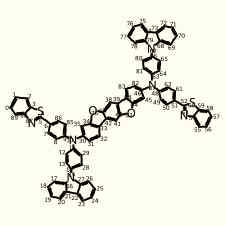 c1ccc2sc(-c3ccc(N(c4ccc(-n5c6ccccc6c6ccccc65)cc4)c4ccc5c(c4)oc4cc6c(cc45)oc4cc(N(c5ccc(-c7nc8ccccc8s7)cc5)c5ccc(-n7c8ccccc8c8ccccc87)cc5)ccc46)cc3)nc2c1